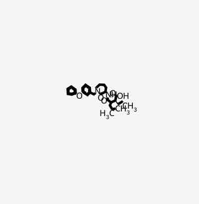 CCC[C@H](C(=O)O)C(CC(C)C)C(=O)N[C@H]1CCCCN(Cc2cccc(Oc3ccccc3)c2)C1=O